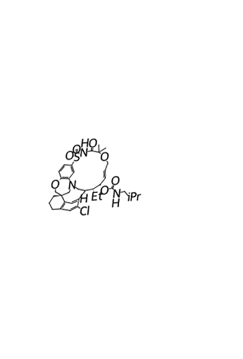 CC[C@H]1[C@@H](OC(=O)NCC(C)C)/C=C/COC(C)(C)C(=O)NS(=O)(=O)c2ccc3c(c2)N2C[C@@H]1c1cc4c(cc1Cl)CCC[C@@]4(CO3)C2